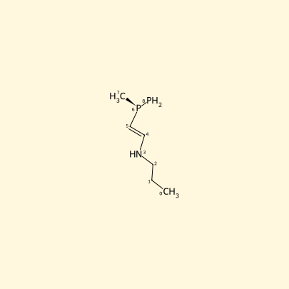 CCCNC=C[P@@](C)P